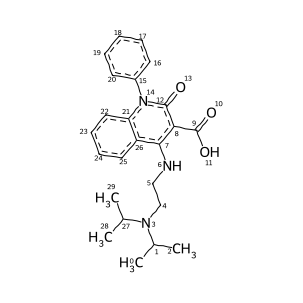 CC(C)N(CCNc1c(C(=O)O)c(=O)n(-c2ccccc2)c2ccccc12)C(C)C